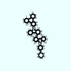 c1ccc2c(c1)c1ccccc1c1cc(-n3c4ccccc4c4c(-c5cccc6c5c5ccccc5n6-c5ccc(C6CCCCC6)cc5)cccc43)ccc21